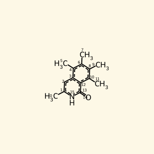 Cc1cc2c(C)c(C)c(C)c(C)c2c(=O)[nH]1